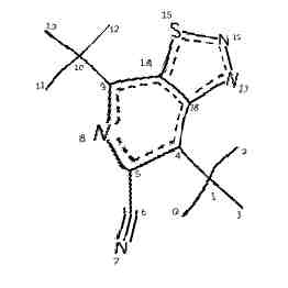 CC(C)(C)c1c(C#N)nc(C(C)(C)C)c2snnc12